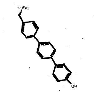 CC[C@H](C)Cc1ccc(-c2ccc(-c3ccc(O)cc3)cc2)cc1